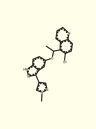 CCc1ccc2ncccc2c1C(C)Oc1ccc2[nH]nc(-c3cnn(C)c3)c2c1